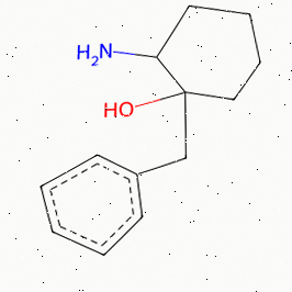 NC1CCCCC1(O)Cc1ccccc1